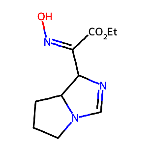 CCOC(=O)C(=NO)C1N=CN2CCCC12